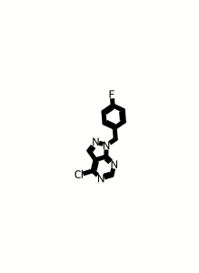 Fc1ccc(Cn2ncc3c(Cl)ncnc32)cc1